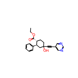 CCOC(=O)[C@@H]1CCC(O)(C#Cc2cncnc2)C[C@H]1c1ccccc1